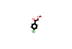 COCC(=O)c1ccc(Br)cc1